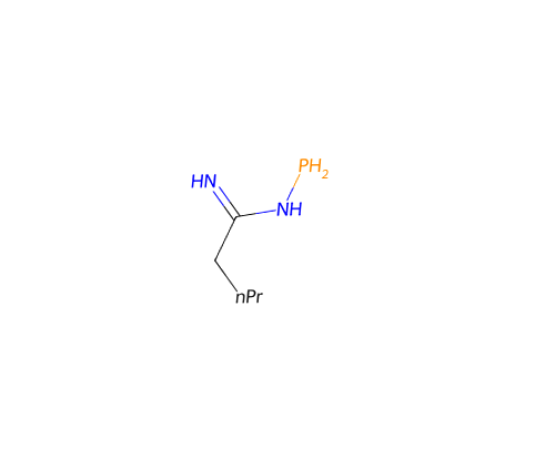 CCCCC(=N)NP